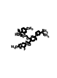 CCOc1nc(N2CC[C@@H](N(C)C)C2)ncc1C(=O)Nc1cc(F)c2nc(C)cn2c1.Cc1ccc(S(=O)(=O)O)cc1